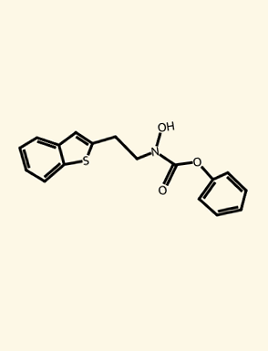 O=C(Oc1ccccc1)N(O)CCc1cc2ccccc2s1